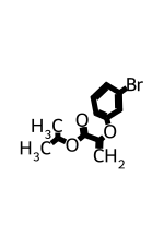 C=C(Oc1cccc(Br)c1)C(=O)OC(C)C